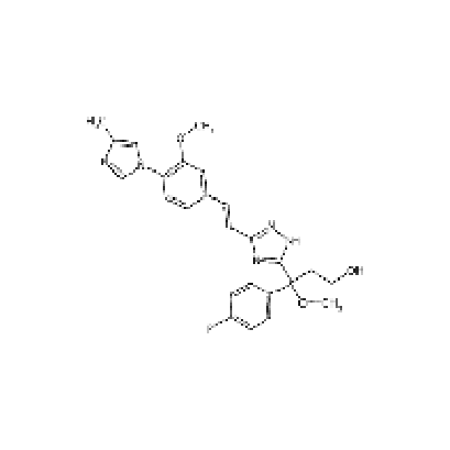 COc1cc(/C=C/c2n[nH]c(C(CCO)(OC)c3ccc(F)cc3)n2)ccc1-n1cnc(C)c1